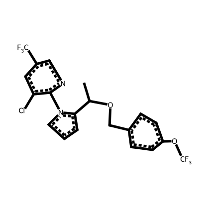 CC(OCc1ccc(OC(F)(F)F)cc1)c1cccn1-c1ncc(C(F)(F)F)cc1Cl